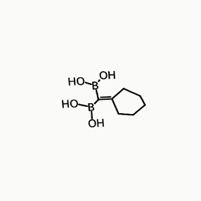 OB(O)C(B(O)O)=C1CCCCC1